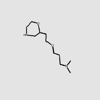 CN(C)CCCOCCC1CNCCO1